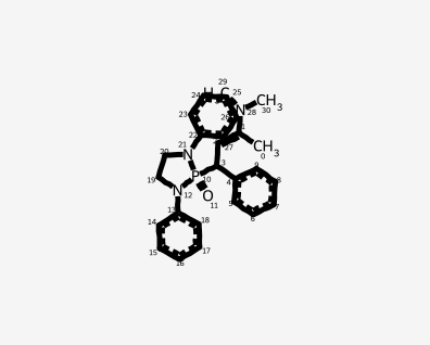 C/C(=C\C(c1ccccc1)P1(=O)N(c2ccccc2)CCN1c1ccccc1)N(C)C